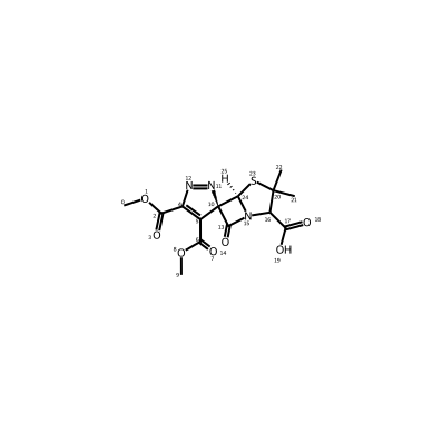 COC(=O)C1=C(C(=O)OC)[C@@]2(N=N1)C(=O)N1C(C(=O)O)C(C)(C)S[C@@H]12